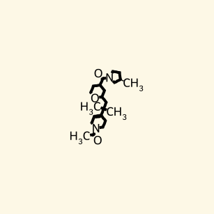 CC(=O)N1CC=C(C(C)(C)CC2CC(C(=O)N3CC[C@H](C)C3)CCO2)CC1